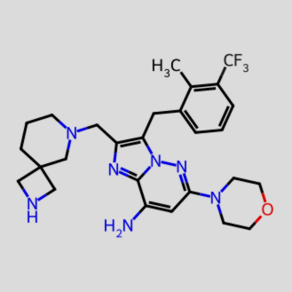 Cc1c(Cc2c(CN3CCCC4(CNC4)C3)nc3c(N)cc(N4CCOCC4)nn23)cccc1C(F)(F)F